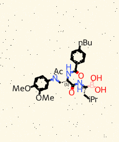 CCCCc1ccc(C(=O)N[C@@H](CN(C(C)=O)c2ccc(OC)c(OC)c2)C(=O)N[C@@H](CC(C)C)B(O)O)cc1